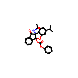 CC(=O)NC12C(=O)c3ccccc3C1(OC(=O)Oc1ccccc1)Oc1cc(C(C)C)ccc12